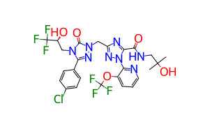 CC(C)(O)CNC(=O)c1nc(Cn2nc(-c3ccc(Cl)cc3)n(C[C@H](O)C(F)(F)F)c2=O)nn1-c1ncccc1OC(F)(F)F